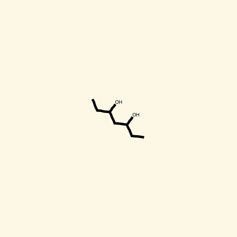 CCC(O)CC(O)CC